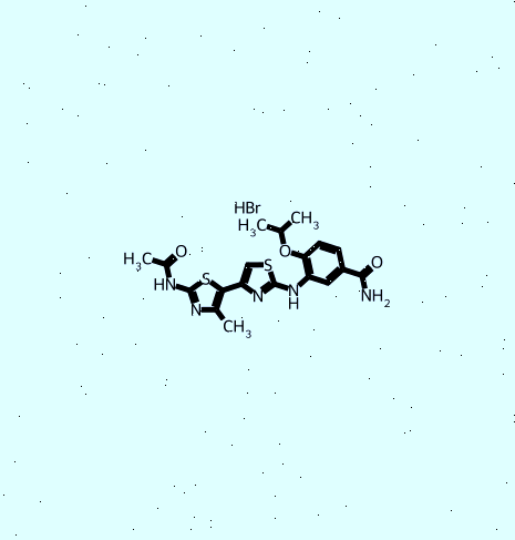 Br.CC(=O)Nc1nc(C)c(-c2csc(Nc3cc(C(N)=O)ccc3OC(C)C)n2)s1